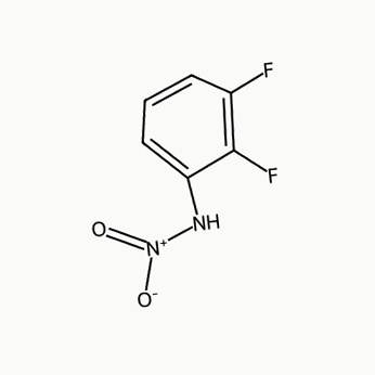 O=[N+]([O-])Nc1cccc(F)c1F